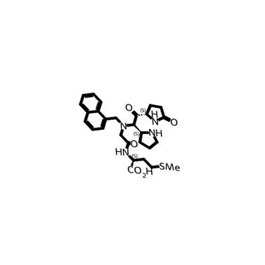 CSCC[C@H](NC(=O)CN(Cc1cccc2ccccc12)C(C(=O)[C@@H]1CCC(=O)N1)[C@@H]1CCCN1)C(=O)O